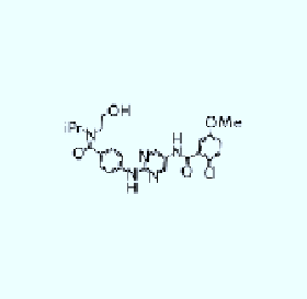 COc1ccc(Cl)c(C(=O)Nc2cnc(Nc3ccc(C(=O)N(CCO)C(C)C)cc3)nc2)c1